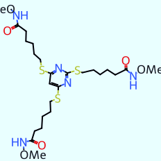 CONC(=O)CCCCCSc1cc(SCCCCCC(=O)NOC)nc(SCCCCCC(=O)NOC)n1